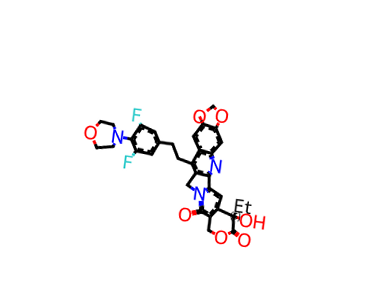 CC[C@@]1(O)C(=O)OCc2c1cc1n(c2=O)Cc2c-1nc1cc3c(cc1c2CCc1cc(F)c(N2CCOCC2)c(F)c1)OCO3